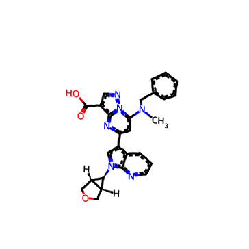 CN(Cc1ccccc1)c1cc(-c2cn([C@H]3[C@@H]4COC[C@@H]43)c3ncccc23)nc2c(C(=O)O)cnn12